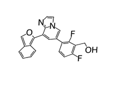 OCc1c(F)ccc(-c2cc(-c3occ4ccccc34)c3nccn3c2)c1F